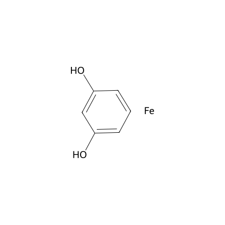 Oc1cccc(O)c1.[Fe]